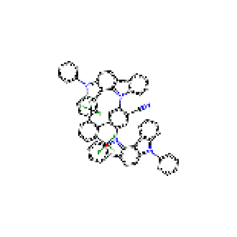 N#Cc1cc(-n2c3ccccc3c3ccc4c(c5ccccc5n4-c4ccccc4)c32)c(-c2c(C(F)(F)F)cccc2C(F)(F)F)cc1-n1c2ccccc2c2ccc3c(c4ccccc4n3-c3ccccc3)c21